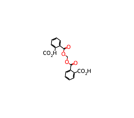 O=C(O)c1ccccc1C(=O)OCOC(=O)c1ccccc1C(=O)O